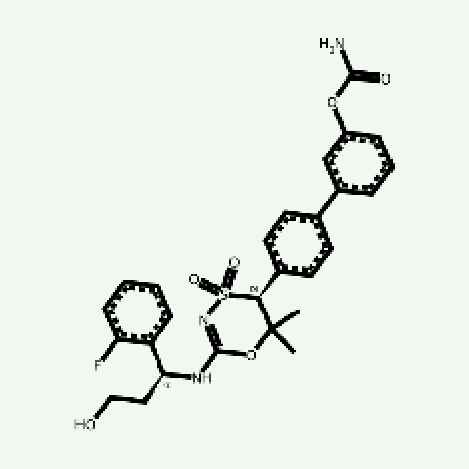 CC1(C)OC(N[C@@H](CCO)c2ccccc2F)=NS(=O)(=O)[C@H]1c1ccc(-c2cccc(OC(N)=O)c2)cc1